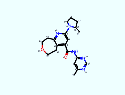 Cc1cc(NC(=O)c2cc(N3CCC[C@H]3C)nc3c2CCOCC3)ncn1